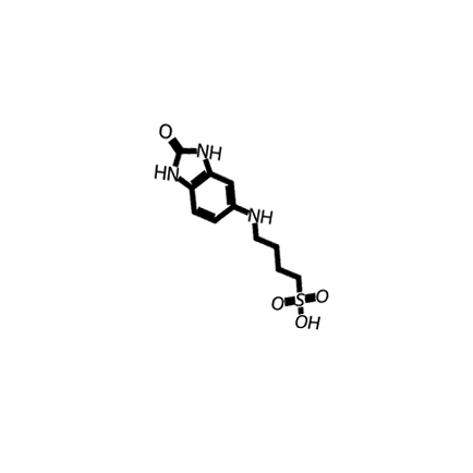 O=c1[nH]c2ccc(NCCCCS(=O)(=O)O)cc2[nH]1